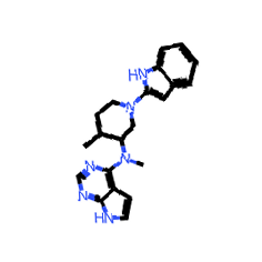 CC1CCN(c2cc3ccccc3[nH]2)CC1N(C)c1ncnc2[nH]ccc12